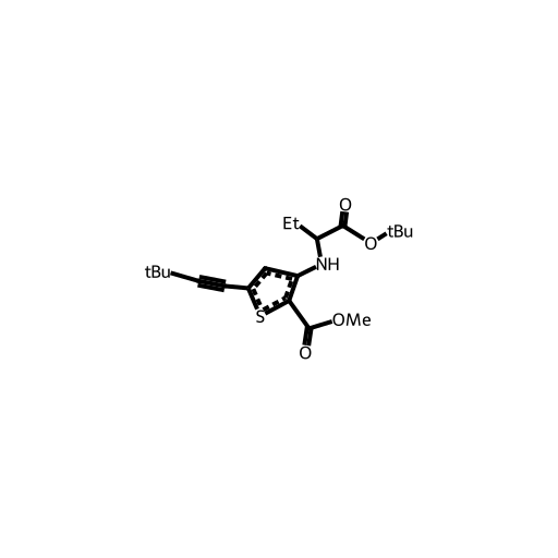 CCC(Nc1cc(C#CC(C)(C)C)sc1C(=O)OC)C(=O)OC(C)(C)C